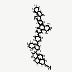 N#Cc1cc2ccc3ccc(-c4ccc(-c5ccc(-c6ccc7c(c6)c6ccccc6c6cc8c(cc76)oc6c7ccccc7ccc86)cc5)c5ccccc45)c4ccc(c1)c2c34